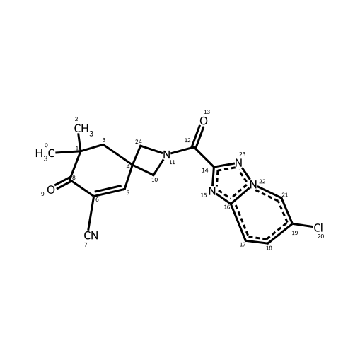 CC1(C)CC2(C=C(C#N)C1=O)CN(C(=O)c1nc3ccc(Cl)cn3n1)C2